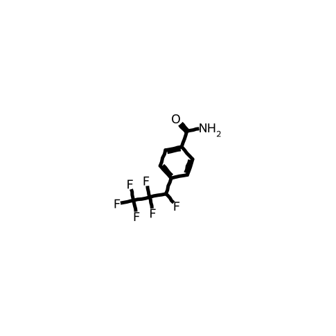 NC(=O)c1ccc(C(F)C(F)(F)C(F)(F)F)cc1